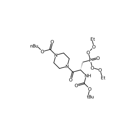 CCCCOC(=O)N1CCN(C(=O)[C@H](CP(=O)(OOCC)OOCC)NC(=O)OC(C)(C)C)CC1